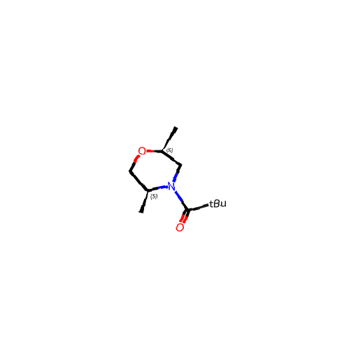 C[C@H]1CN(C(=O)C(C)(C)C)[C@@H](C)CO1